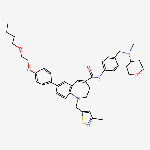 CCCCOCCOc1ccc(-c2ccc3c(c2)C=C(C(=O)Nc2ccc(CN(C)C4CCOCC4)cc2)CCN3Cc2cc(C)ns2)cc1